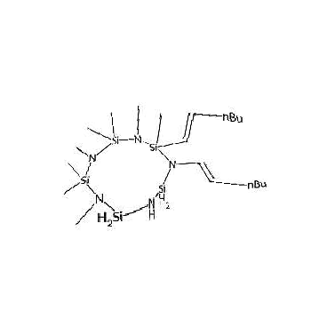 CCCCC=CN1[SiH2]N[SiH2]N(C)[Si](C)(C)N(C)[Si](C)(C)N(C)[Si]1(C)C=CCCCC